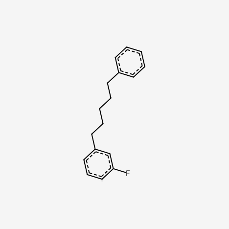 Fc1[c]ccc(CCCCCc2ccccc2)c1